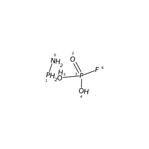 NP.O=P(O)(O)F